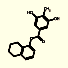 Cc1c(O)cc(C(=O)Oc2cc[c]c3c2CCCC3)cc1O